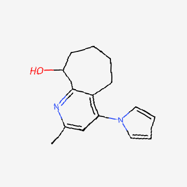 Cc1cc(-n2cccc2)c2c(n1)C(O)CCCC2